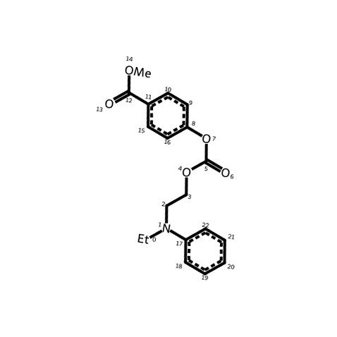 CCN(CCOC(=O)Oc1ccc(C(=O)OC)cc1)c1ccccc1